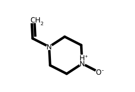 C=CN1CC[NH+]([O-])CC1